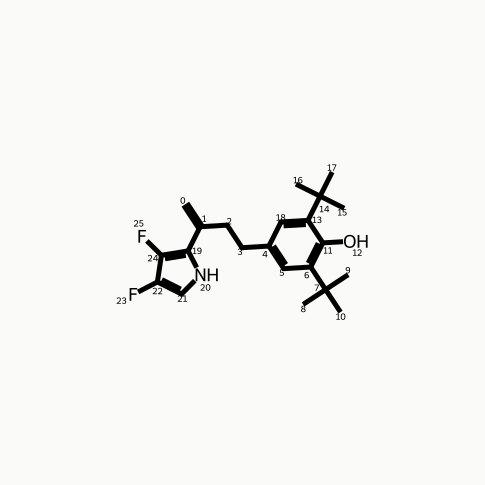 C=C(CCc1cc(C(C)(C)C)c(O)c(C(C)(C)C)c1)c1[nH]cc(F)c1F